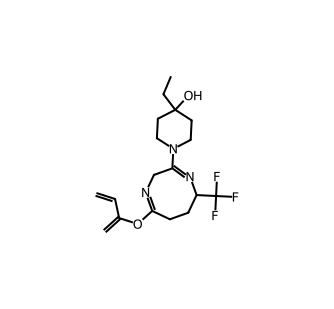 C=CC(=C)O/C1=N/C/C(N2CCC(O)(CC)CC2)=N\C(C(F)(F)F)CC1